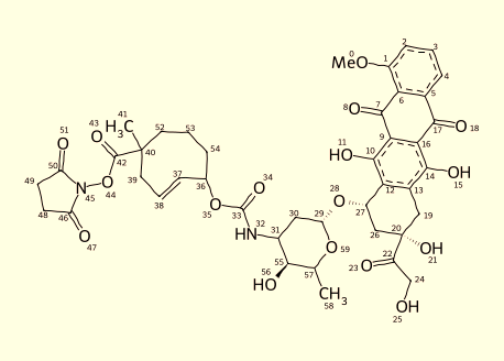 COc1cccc2c1C(=O)c1c(O)c3c(c(O)c1C2=O)C[C@@](O)(C(=O)CO)C[C@@H]3O[C@H]1CC(NC(=O)OC2/C=C/CC(C)(C(=O)ON3C(=O)CCC3=O)CCC2)[C@H](O)C(C)O1